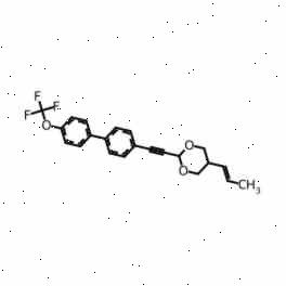 C/C=C/C1COC(C#Cc2ccc(-c3ccc(OC(F)(F)F)cc3)cc2)OC1